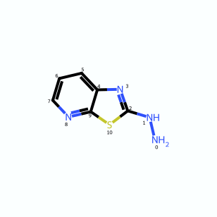 NNc1nc2cccnc2s1